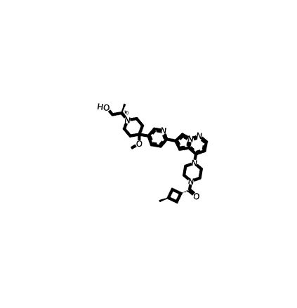 COC1(c2ccc(-c3cc4c(N5CCN(C(=O)[C@H]6C[C@H](C)C6)CC5)ccnn4c3)nc2)CCN([C@H](C)CO)CC1